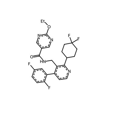 CCOc1ncc(C(=O)NCc2c(-c3cc(F)ccc3F)ccnc2C2CCC(F)(F)CC2)cn1